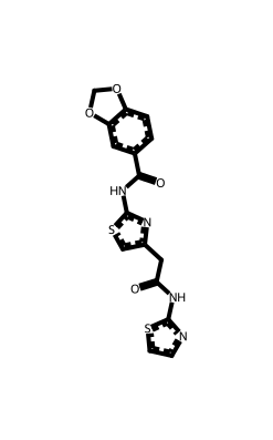 O=C(Cc1csc(NC(=O)c2ccc3c(c2)OCO3)n1)Nc1nccs1